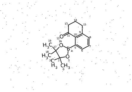 CC1(C)OB(c2cccc3c2C(=O)CCC3)OC1(C)C